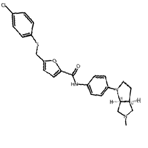 CN1C[C@@H]2CCN(c3ccc(NC(=O)c4ccc(CSc5ccc(Cl)cc5)o4)cc3)[C@@H]2C1